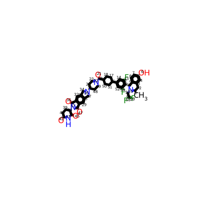 C[C@@H]1Cc2cc(O)ccc2[C@@H](c2c(F)cc(C3CCC(C(=O)N4CCC(N5Cc6cc7c(cc6C5)C(=O)N(C5CCC(=O)NC5=O)C7=O)CC4)CC3)cc2F)N1CC(F)F